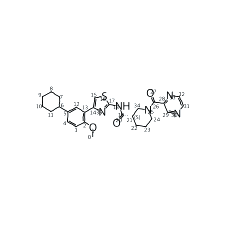 COc1ccc(C2CCCCC2)cc1-c1csc(NC(=O)[C@H]2CCCN(C(=O)c3cnccn3)C2)n1